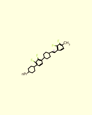 CCCC1CCC(c2ccc(C3CCC(/C=C/c4ccc(C)c(F)c4F)CC3)c(F)c2F)CC1